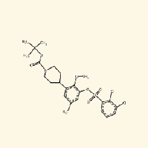 COc1c(OS(=O)(=O)c2cccc(Cl)c2Cl)cc(C)cc1C1CCN(C(=O)OC(C)(C)C)CC1